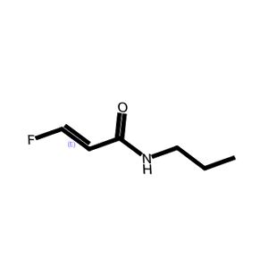 CCCNC(=O)/C=C/F